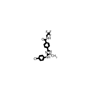 Cn1nc(-c2ccc(C(=O)NCC(F)(F)F)cc2)nc1Nc1ccc(Cl)cc1